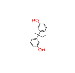 CCC(C)(c1cccc(O)c1)c1cccc(O)c1